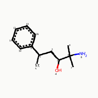 CCC(CC(O)C(C)(C)N)c1ccccc1